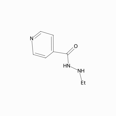 CCNNC(=O)c1ccncc1